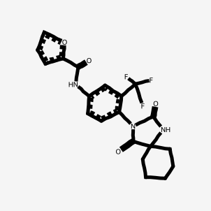 O=C(Nc1ccc(N2C(=O)NC3(CCCCC3)C2=O)c(C(F)(F)F)c1)c1ccco1